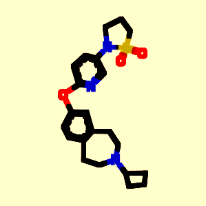 O=S1(=O)CCCN1c1ccc(Oc2ccc3c(c2)CCN(C2CCC2)CC3)nc1